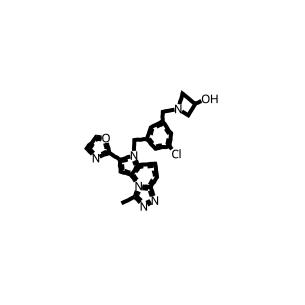 Cc1nnc2ccc3c(cc(-c4ncco4)n3Cc3cc(Cl)cc(CN4CC(O)C4)c3)n12